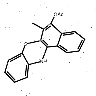 CC(=O)Oc1c(C)c2c(c3ccccc13)Nc1ccccc1S2